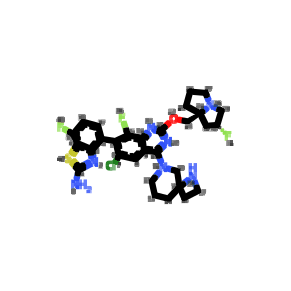 Nc1nc2c(-c3c(Cl)cc4c(N5CCCC6(CCN6)C5)nc(OC[C@@]56CCCN5C[C@H](F)C6)nc4c3F)ccc(F)c2s1